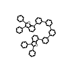 c1ccc(-c2oc3c(-c4cccc(-c5cccc(-c6cccc(-c7cccc(-c8cccc9c(-c%10ccccc%10)c(-c%10ccccc%10)oc89)c7)c6)c5)c4)cccc3c2-c2ccccc2)cc1